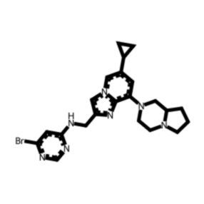 Brc1cc(NCc2cn3cc(C4CC4)cc(N4CCN5CCCC5C4)c3n2)ncn1